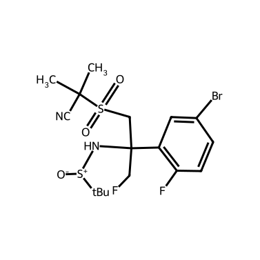 CC(C)(C)[S+]([O-])NC(CF)(CS(=O)(=O)C(C)(C)C#N)c1cc(Br)ccc1F